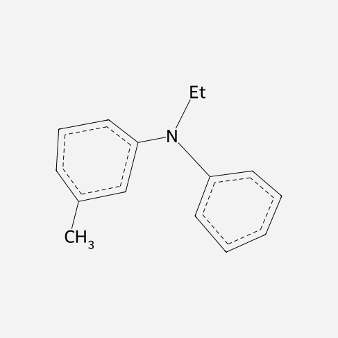 CCN(c1ccccc1)c1cccc(C)c1